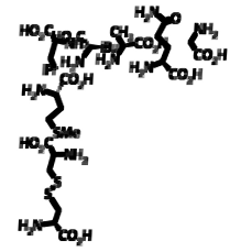 CC(C)C[C@H](N)C(=O)O.CC[C@H](C)[C@H](N)C(=O)O.CSCC[C@H](N)C(=O)O.C[C@H](N)C(=O)O.NC(=O)CC[C@H](N)C(=O)O.NC(CSSC[C@H](N)C(=O)O)C(=O)O.NCC(=O)O